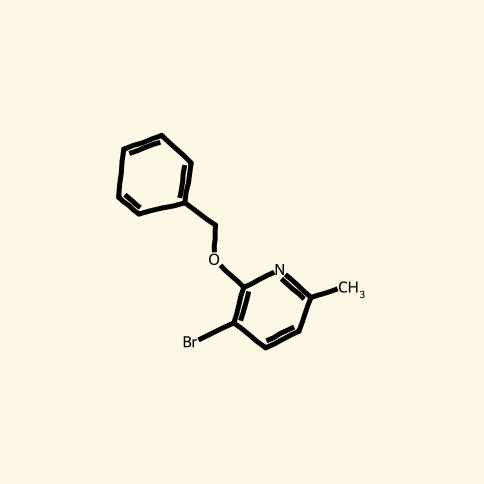 Cc1ccc(Br)c(OCc2ccccc2)n1